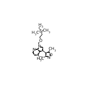 Cc1noc(C)c1-c1cn(COCC[Si](C)(C)C)c2nccc(Cl)c12